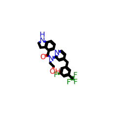 O=C(c1cccc2c1CCN2)N(CCO)c1cc(Cc2cc(F)cc(C(F)(F)F)c2)ccn1